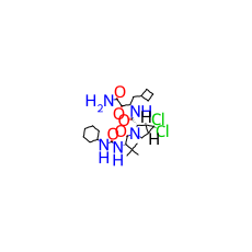 CC(C)(C)[C@H](NC(=O)NC1CCCCC1)C(=O)N1C[C@H]2[C@@H]([C@H]1C(=O)NC(CC1CCC1)C(=O)C(N)=O)C2(Cl)Cl